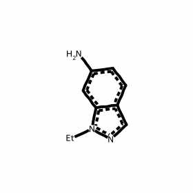 CCn1ncc2ccc(N)cc21